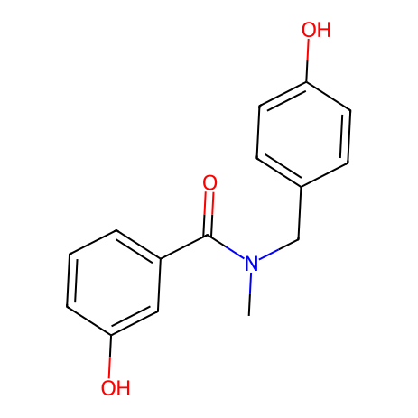 CN(Cc1ccc(O)cc1)C(=O)c1cccc(O)c1